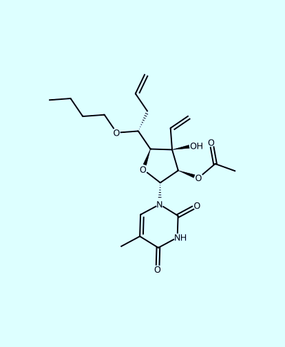 C=CC[C@@H](OCCCC)[C@@H]1O[C@@H](n2cc(C)c(=O)[nH]c2=O)[C@H](OC(C)=O)[C@@]1(O)C=C